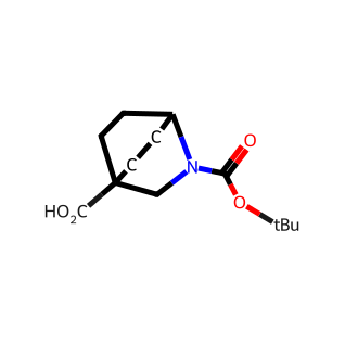 CC(C)(C)OC(=O)N1CC2(C(=O)O)CCC1CC2